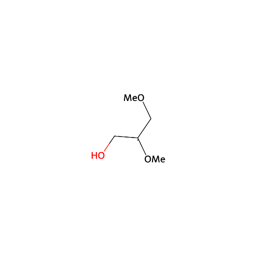 COC[C](CO)OC